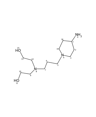 NC1CCN(CCCN(CCO)CCO)CC1